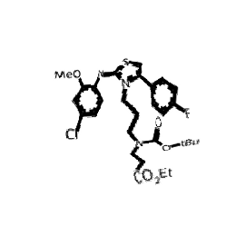 CCOC(=O)CCN(CCCn1c(-c2ccc(F)cc2)cs/c1=N/c1ccc(Cl)cc1OC)C(=O)OC(C)(C)C